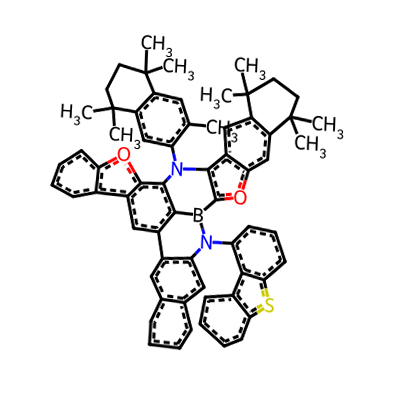 Cc1cc2c(cc1N1c3c(oc4cc5c(cc34)C(C)(C)CCC5(C)C)B3c4c(cc5c(oc6ccccc65)c41)-c1cc4ccccc4cc1N3c1cccc3sc4ccccc4c13)C(C)(C)CCC2(C)C